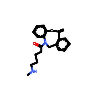 C=C1Cc2ccccc2N(C(=O)CCCCNC)Cc2ccccc21